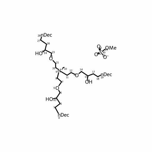 CCCCCCCCCCCCC(O)COCC[N+](C)(CCOCC(O)CCCCCCCCCCCC)CCOCC(O)CCCCCCCCCCCC.COS(=O)(=O)[O-]